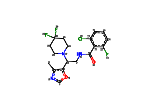 Cc1ncoc1C(CNC(=O)c1c(F)cccc1Cl)N1CCC(F)(F)CC1